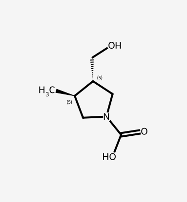 C[C@@H]1CN(C(=O)O)C[C@H]1CO